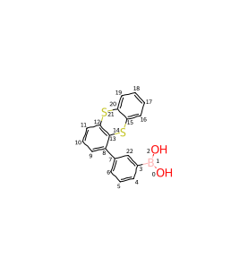 OB(O)c1cccc(-c2cccc3c2Sc2ccccc2S3)c1